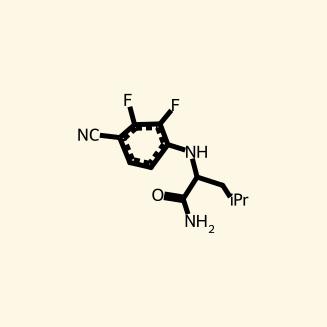 CC(C)CC(Nc1ccc(C#N)c(F)c1F)C(N)=O